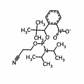 CC(C)N(C(C)C)P(OCCC#N)OC(c1ccccc1[N+](=O)[O-])C(C)(C)C